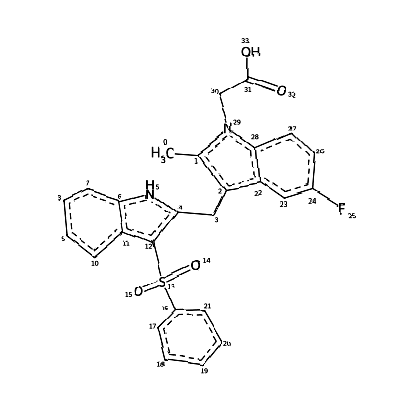 Cc1c(Cc2[nH]c3ccccc3c2S(=O)(=O)c2ccccc2)c2cc(F)ccc2n1CC(=O)O